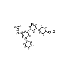 O=Cc1ccc(-c2cncc(-c3cc(NC4CC4)nc(-c4ccccn4)c3)c2)cc1